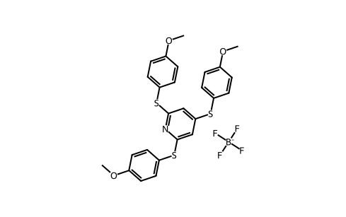 COc1ccc(Sc2cc(Sc3ccc(OC)cc3)nc(Sc3ccc(OC)cc3)c2)cc1.F[B-](F)(F)F